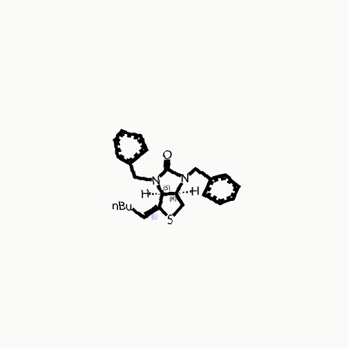 CCCC/C=C1/SC[C@H]2[C@@H]1N(Cc1ccccc1)C(=O)N2Cc1ccccc1